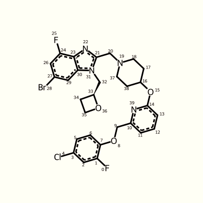 Fc1cc(Cl)ccc1OCc1cccc(OC2CCN(Cc3nc4c(F)cc(Br)cc4n3C[C@@H]3CCO3)CC2)n1